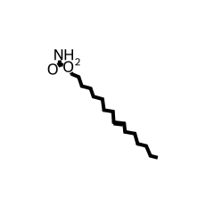 CCCCCCC=CCCCCCCCCOC(N)=O